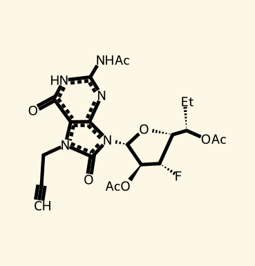 C#CCn1c(=O)n([C@@H]2O[C@H]([C@H](CC)OC(C)=O)[C@H](F)[C@H]2OC(C)=O)c2nc(NC(C)=O)[nH]c(=O)c21